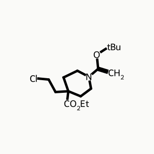 C=C(OC(C)(C)C)N1CCC(CCCl)(C(=O)OCC)CC1